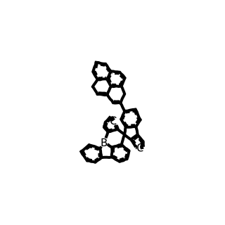 C1=C(c2ccc3c(c2)C2(c4ccccc4B4c5ccccc5-c5cccc2c54)c2ccccc2-3)Cc2ccc3cccc4c3c2C1=CC4